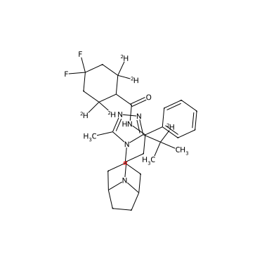 [2H]C(C)(C)c1nnc(C)n1C1CC2CCC(C1)N2CCC(NC(=O)C1C([2H])([2H])CC(F)(F)CC1([2H])[2H])c1ccccc1